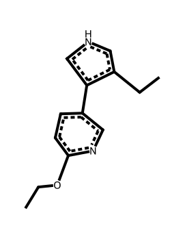 CCOc1ccc(-c2c[nH]cc2CC)cn1